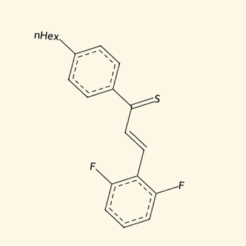 CCCCCCc1ccc(C(=S)C=Cc2c(F)cccc2F)cc1